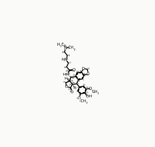 COc1cc(C2c3cc4c(cc3[C@@H](NC(=O)CCNCCN(C)C)[C@H]3COC(=O)[C@H]23)OCO4)cc(OC)c1O